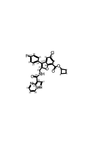 O=C(OC1CCC1)c1cc(Cl)cc2c(-c3ccc(F)cc3)c(CNC(=O)c3cnn4cccnc34)oc12